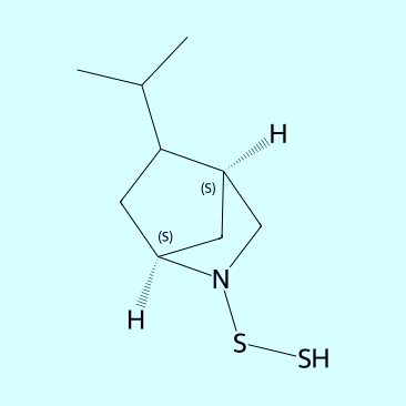 CC(C)C1C[C@H]2C[C@@H]1CN2SS